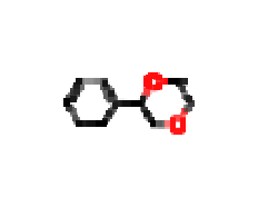 [CH]1COCC(C2=CC=CCC2)O1